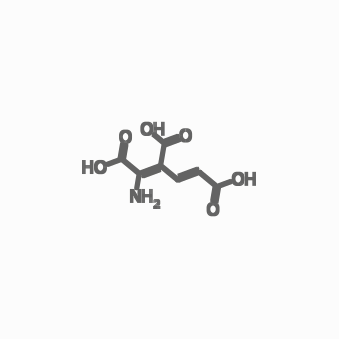 NC(C(=O)O)=C(C=CC(=O)O)C(=O)O